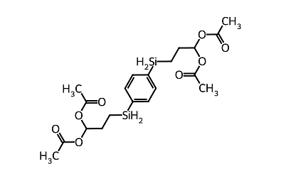 CC(=O)OC(CC[SiH2]c1ccc([SiH2]CCC(OC(C)=O)OC(C)=O)cc1)OC(C)=O